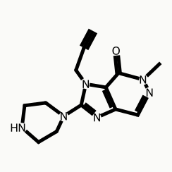 C#CCn1c(N2CCNCC2)nc2cnn(C)c(=O)c21